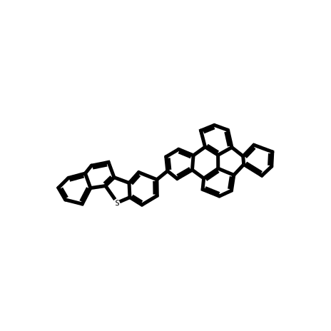 c1ccc2c(c1)ccc1c3cc(-c4ccc5c(c4)c4cccc6c7ccccc7c7cccc5c7c64)ccc3sc21